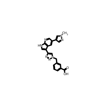 Cn1cc(-c2cnc3[nH]cc(-c4cn(Cc5cccc(C(=O)O)c5)nn4)c3c2)cn1